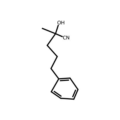 CC(O)(C#N)CCCc1ccccc1